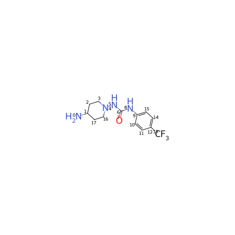 NC1CCN(NC(=O)Nc2ccc(C(F)(F)F)cc2)CC1